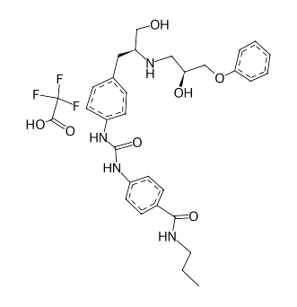 CCCNC(=O)c1ccc(NC(=O)Nc2ccc(C[C@@H](CO)NC[C@H](O)COc3ccccc3)cc2)cc1.O=C(O)C(F)(F)F